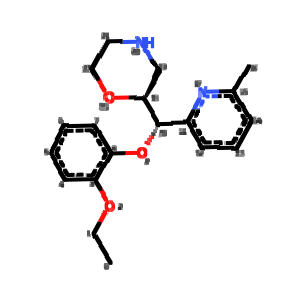 CCOc1ccccc1O[C@@H](c1cccc(C)n1)[C@@H]1CNCCO1